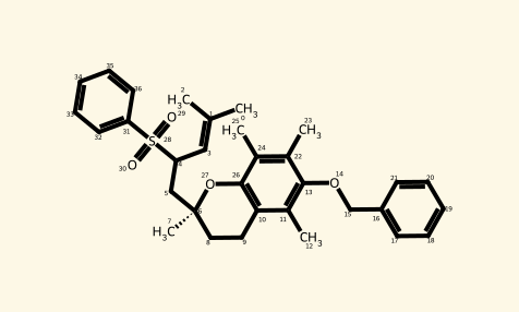 CC(C)=CC(C[C@]1(C)CCc2c(C)c(OCc3ccccc3)c(C)c(C)c2O1)S(=O)(=O)c1ccccc1